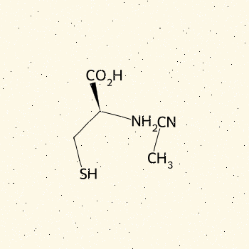 CC#N.N[C@@H](CS)C(=O)O